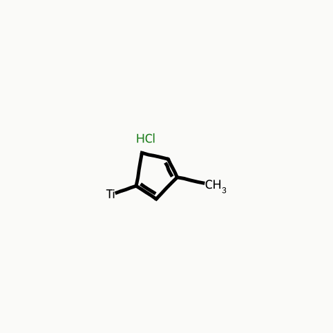 CC1=CC[C]([Ti])=C1.Cl